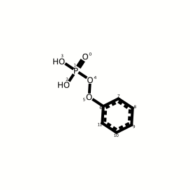 O=P(O)(O)OOc1ccccc1